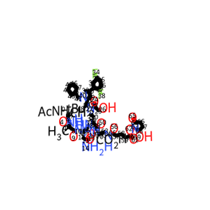 CC(=O)N[C@@H](C)C(=O)N[C@H](C)C(=O)N[C@@H](CC(N)=O)C(=O)N[C@@H](CCN(C(=O)CO)[C@@H](c1cc(-c2cc(F)ccc2F)cn1Cc1ccccc1)C(C)(C)C)C(=O)N[C@H](CNC(=O)CCCC(=O)ON1C(=O)CCC1O)C(=O)O